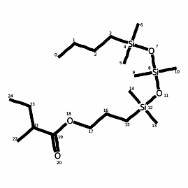 CCCC[Si](C)(C)O[Si](C)(C)O[Si](C)(C)CCCOC(=O)C(C)CC